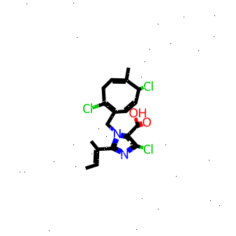 C/C=C(\C)c1nc(Cl)c(C(=O)O)n1C/C1=C(\Cl)C/C=C(/C)C(Cl)C=C1